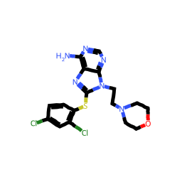 Nc1ncnc2c1nc(Sc1ccc(Cl)cc1Cl)n2CCN1CCOCC1